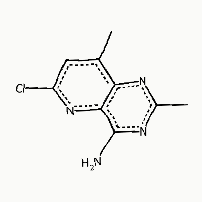 Cc1nc(N)c2nc(Cl)cc(C)c2n1